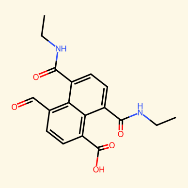 CCNC(=O)c1ccc(C(=O)NCC)c2c(C(=O)O)ccc(C=O)c12